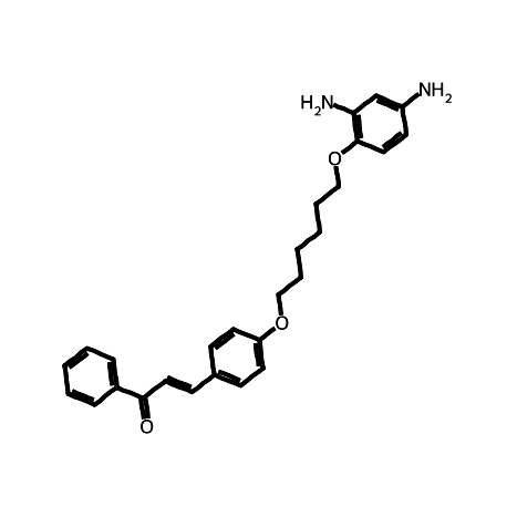 Nc1ccc(OCCCCCCOc2ccc(C=CC(=O)c3ccccc3)cc2)c(N)c1